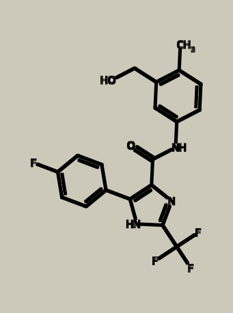 Cc1ccc(NC(=O)c2nc(C(F)(F)F)[nH]c2-c2ccc(F)cc2)cc1CO